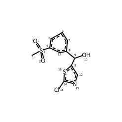 CS(=O)(=O)c1cccc(C(O)c2cnc(Cl)s2)c1